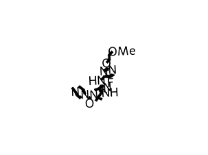 COCCOc1ncc(F)c(Nc2n[nH]c3c2CN(C(=O)N2CCN(C)CC2)C3(C)C)n1